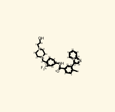 Cc1ccc(C(=O)Nc2ccc(CN3CCN(CCO)CC3)c(C(F)(F)F)c2)cc1-c1cnc2ccccn12